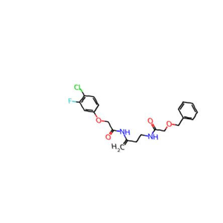 C=C(CCNC(=O)COCc1ccccc1)NC(=O)COc1ccc(Cl)c(F)c1